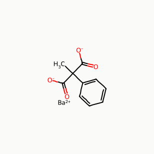 CC(C(=O)[O-])(C(=O)[O-])c1ccccc1.[Ba+2]